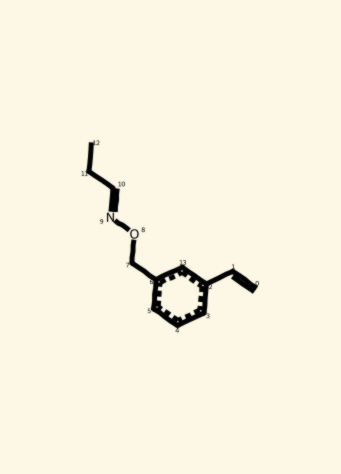 C=Cc1cccc(CON=CCC)c1